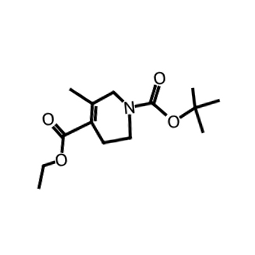 CCOC(=O)C1=C(C)CN(C(=O)OC(C)(C)C)CC1